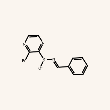 [O-][S+](N=Cc1ccccc1)c1nccnc1Br